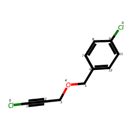 ClC#CCOCc1ccc(Cl)cc1